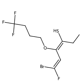 CC/C(S)=C(\C=C(F)Br)OCCCC(F)(F)F